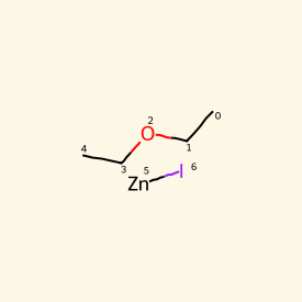 CCOCC.[Zn][I]